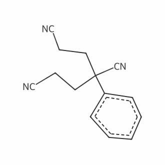 N#CCCC(C#N)(CCC#N)c1ccccc1